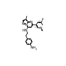 C=N/C=C(\C=C(/C)F)c1cc(NCCc2ccc(N)cc2)n2ncc(C)c2n1